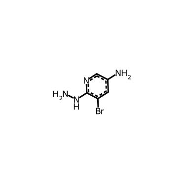 NNc1ncc(N)cc1Br